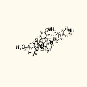 COc1ccc(S(=O)(=O)N2C(=O)C(OC(=O)N3CCN(C4CCNCC4)CC3)(c3ccccc3OC)c3cc(OC)ccc32)c(OC)c1